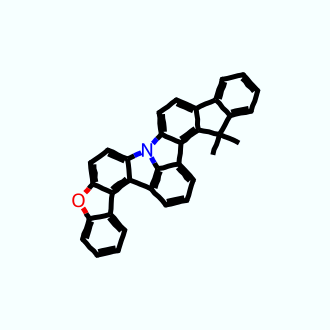 CC1(C)c2ccccc2-c2ccc3c(c21)c1cccc2c4c5c(ccc4n3c12)oc1ccccc15